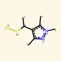 Cc1nn(C)c(C)c1C(C)SS